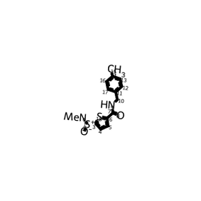 CN[S+]([O-])c1ccc(C(=O)NCc2ccc(C)cc2)s1